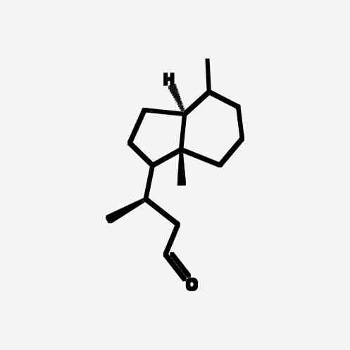 CC1CCC[C@]2(C)C([C@H](C)CC=O)CC[C@@H]12